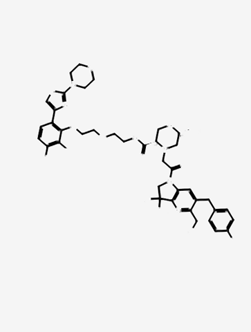 C[C@@H]1CN(CC(=O)N2CC(C)(C)c3nc(CO)c(Cc4ccc(F)cc4)cc32)[C@@H](C(=O)NCCOCCOc2c(-c3csc(N4CCOCC4)n3)ccc(F)c2F)CN1